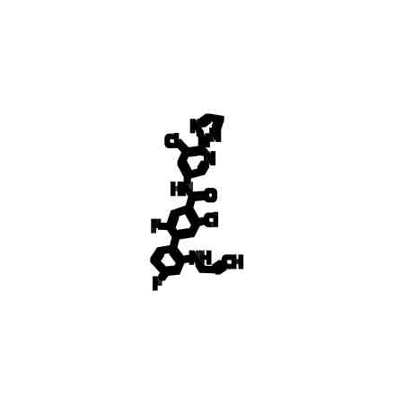 C#CCNc1cc(F)ccc1-c1cc(Cl)c(C(=O)Nc2cnc(-n3nccn3)c(Cl)c2)cc1F